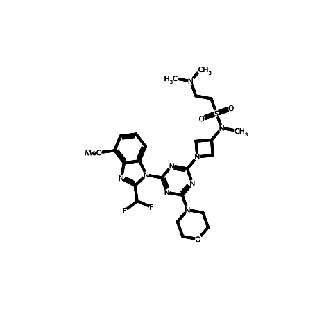 COc1cccc2c1nc(C(F)F)n2-c1nc(N2CCOCC2)nc(N2CC(N(C)S(=O)(=O)CCN(C)C)C2)n1